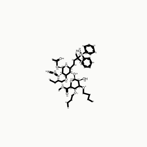 CCCCOC1[C@H](OCCCC)C(C(=O)OC)O[C@@H](O[C@H]2C(CCC(C)(C)[Si](O)(c3ccccc3)c3ccccc3)O[C@H](OC(C)=O)[C@@H](N=[N+]=[N-])C2OCCCC)[C@H]1O